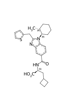 C[C@@H]1CCCC[C@H]1n1c(Cc2cccs2)nc2cc(C(=O)N[C@@H](CC3CCC3)C(=O)O)ccc21